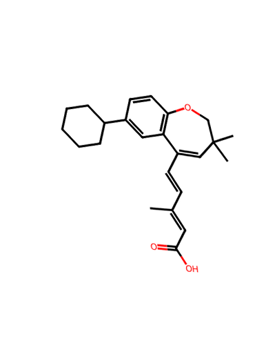 CC(/C=C/C1=CC(C)(C)COc2ccc(C3CCCCC3)cc21)=C\C(=O)O